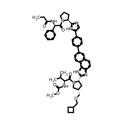 CCC(=O)N[C@@H](C(=O)N1CCC[C@H]1c1ncc(-c2ccc(-c3ccc4c(ccc5nc([C@@H]6C[C@H](COCC7CCC7)CN6C(=O)[C@@H](NC(=O)OC)C(C)C)[nH]c54)c3)cc2)[nH]1)c1ccccc1